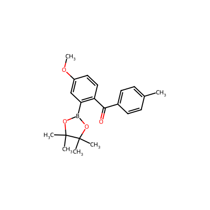 COc1ccc(C(=O)c2ccc(C)cc2)c(B2OC(C)(C)C(C)(C)O2)c1